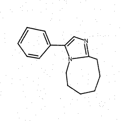 c1ccc(-c2cnc3n2CCCCCC3)cc1